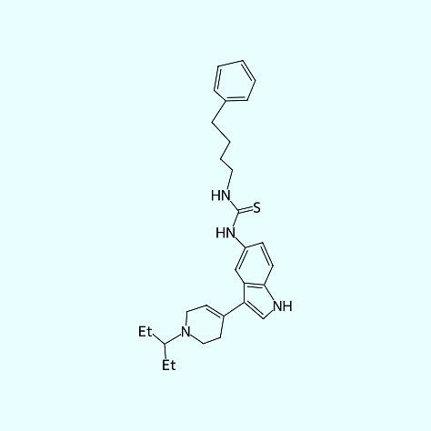 CCC(CC)N1CC=C(c2c[nH]c3ccc(NC(=S)NCCCCc4ccccc4)cc23)CC1